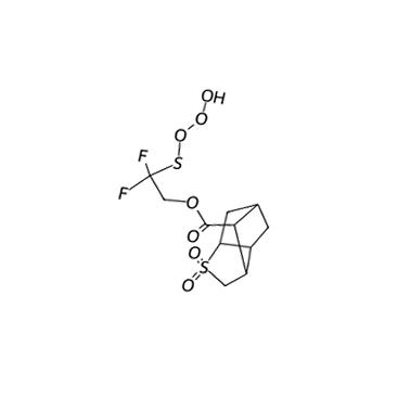 O=C(OCC(F)(F)SOOO)C1C2CC3C1CS(=O)(=O)C3C2